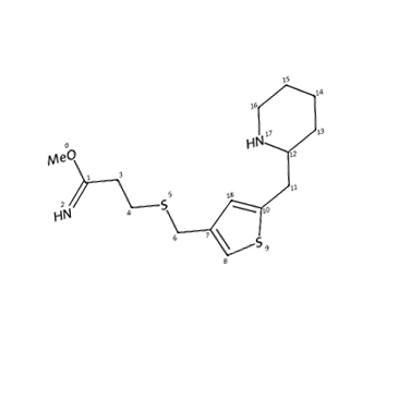 COC(=N)CCSCc1csc(CC2CCCCN2)c1